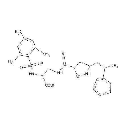 Cc1cc(C)c(S(=O)(=O)NC(CNC(=O)C2CC(CC(C)c3ccccn3)NO2)C(=O)O)c(C)c1